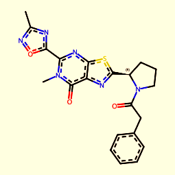 Cc1noc(-c2nc3sc([C@H]4CCCN4C(=O)Cc4ccccc4)nc3c(=O)n2C)n1